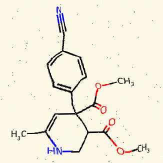 COC(=O)C1CNC(C)=CC1(C(=O)OC)c1ccc(C#N)cc1